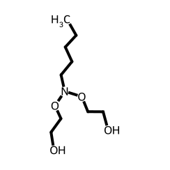 CCCCCN(OCCO)OCCO